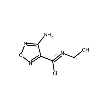 Nc1nonc1/C(Cl)=N/CO